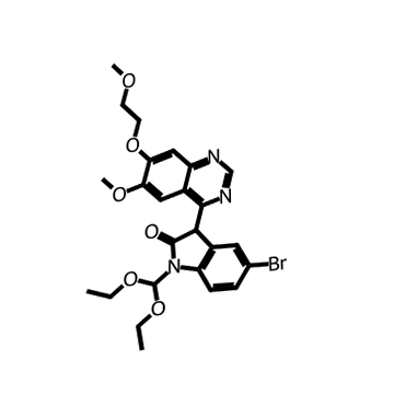 CCOC(OCC)N1C(=O)C(c2ncnc3cc(OCCOC)c(OC)cc23)c2cc(Br)ccc21